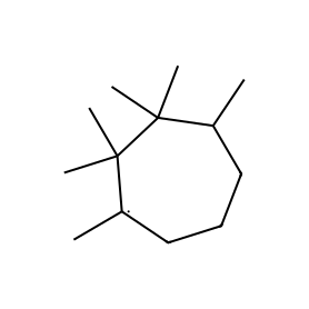 C[C]1CCCC(C)C(C)(C)C1(C)C